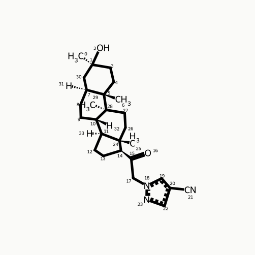 C[C@]1(O)CC[C@@]2(C)[C@@H](CC[C@H]3[C@@H]4CC[C@H](C(=O)Cn5cc(C#N)cn5)[C@@]4(C)CC[C@@]32C)C1